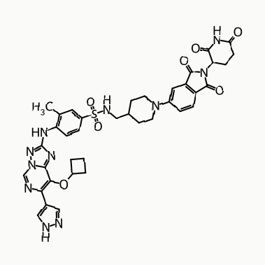 Cc1cc(S(=O)(=O)NCC2CCN(c3ccc4c(c3)C(=O)N(C3CCC(=O)NC3=O)C4=O)CC2)ccc1Nc1nc2c(OC3CCC3)c(-c3cn[nH]c3)ncn2n1